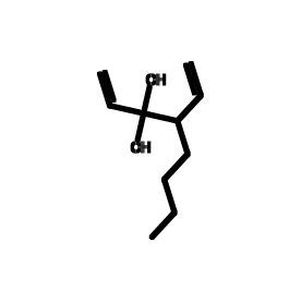 C=CC(CCCC)C(O)(O)C=C